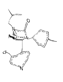 C=C(C)Cn1nc(-c2ccncc2Cl)n(-c2ccc(C)cc2)c1=O